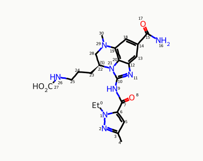 CCn1nc(C)cc1C(=O)Nc1nc2cc(C(N)=O)cc3c2n1[C@@H](CCCNC(=O)O)CN3C